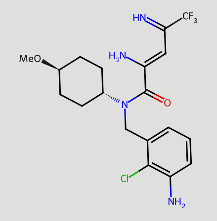 CO[C@H]1CC[C@H](N(Cc2cccc(N)c2Cl)C(=O)/C(N)=C/C(=N)C(F)(F)F)CC1